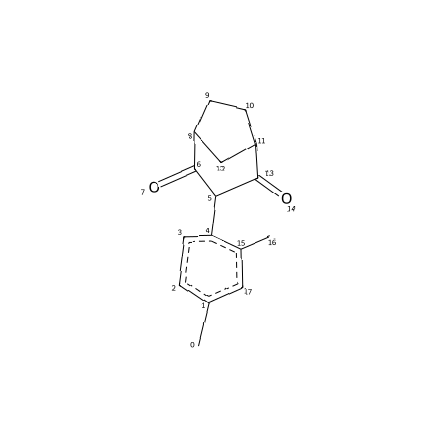 Cc1ccc(C2C(=O)C3CCC(C3)C2=O)c(C)c1